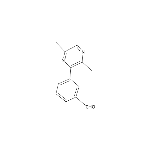 Cc1cnc(C)c(-c2cccc(C=O)c2)n1